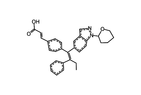 CC/C(=C(/c1ccc(/C=C/C(=O)O)cc1)c1ccc2c(cnn2C2CCCCO2)c1)c1ccccc1